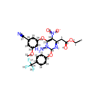 CCOC(=O)CC1=NC(Oc2ccc(C(F)(F)F)cc2)N(N)C(Oc2cc(C#N)cc(OC)c2)=C1[N+](=O)[O-]